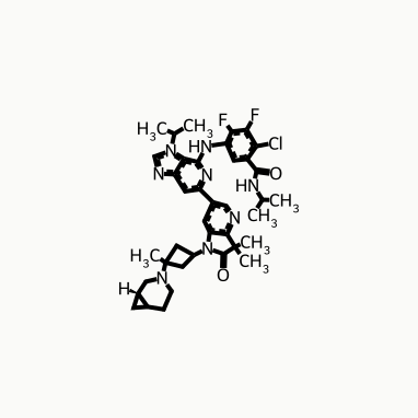 CC(C)NC(=O)c1cc(Nc2nc(-c3cnc4c(c3)N(C3CC(C)(N5CCC6C[C@@H]6C5)C3)C(=O)C4(C)C)cc3ncn(C(C)C)c23)c(F)c(F)c1Cl